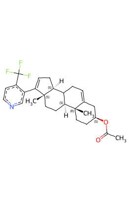 CC(=O)O[C@H]1CC[C@@]2(C)C(=CCC3[C@@H]2CC[C@]2(C)C(c4cnccc4C(F)(F)F)=CC[C@@H]32)C1